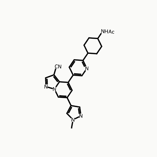 CC(=O)NC1CCC(c2ccc(-c3cc(-c4cnn(C)c4)cn4ncc(C#N)c34)cn2)CC1